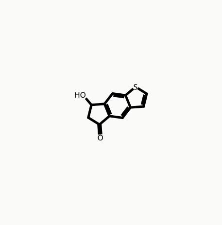 O=C1CC(O)c2cc3sccc3cc21